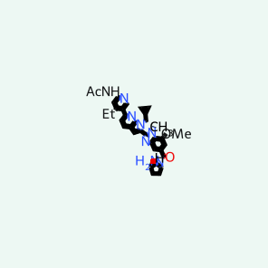 CCc1cc(NC(C)=O)ncc1-c1ccc2cc(-c3nc4cc(C(=O)N5CC6CCC5[C@@H]6N)cc(OC)c4n3C)n(CC3CC3)c2n1